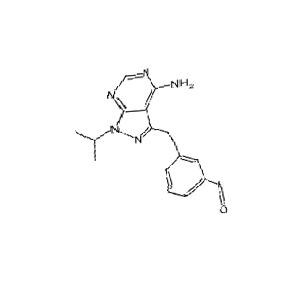 CC(C)n1nc(Cc2cccc(N=O)c2)c2c(N)ncnc21